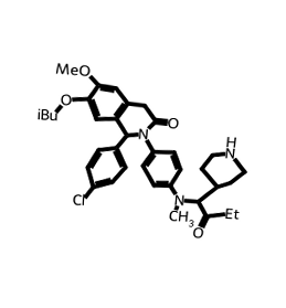 CCC(=O)C(C1CCNCC1)N(C)c1ccc(N2C(=O)Cc3cc(OC)c(OC(C)CC)cc3C2c2ccc(Cl)cc2)cc1